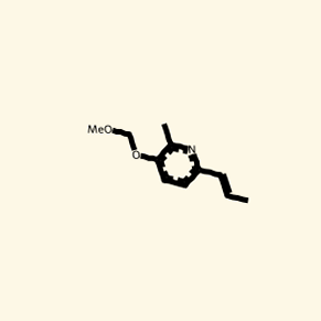 CC=Cc1ccc(OCOC)c(C)n1